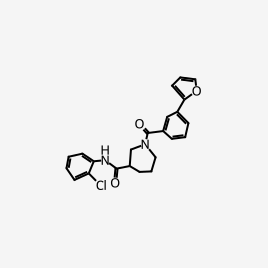 O=C(Nc1ccccc1Cl)C1CCCN(C(=O)c2cccc(-c3ccco3)c2)C1